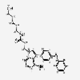 Nc1ncnc2c1c(-c1ccc(Oc3ccccc3)cc1)cn2CCC(=O)NCCSCCO